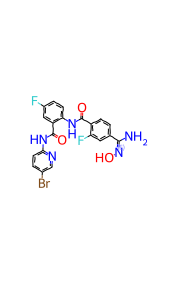 N/C(=N/O)c1ccc(C(=O)Nc2ccc(F)cc2C(=O)Nc2ccc(Br)cn2)c(F)c1